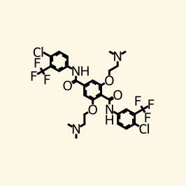 CN(C)CCOc1cc(C(=O)Nc2ccc(Cl)c(C(F)(F)F)c2)cc(OCCN(C)C)c1C(=O)Nc1ccc(Cl)c(C(F)(F)F)c1